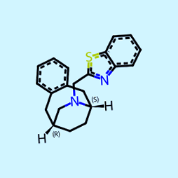 c1ccc2c(c1)C[C@H]1CC[C@@H](C2)N(Cc2nc3ccccc3s2)C1